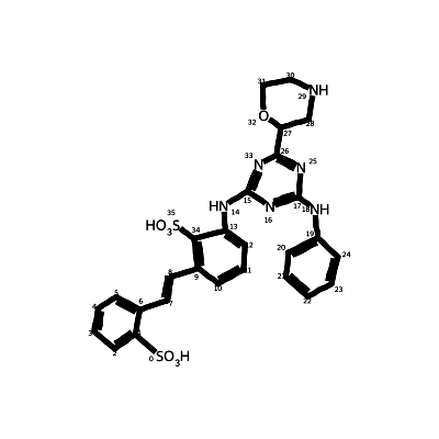 O=S(=O)(O)c1ccccc1C=Cc1cccc(Nc2nc(Nc3ccccc3)nc(C3CNCCO3)n2)c1S(=O)(=O)O